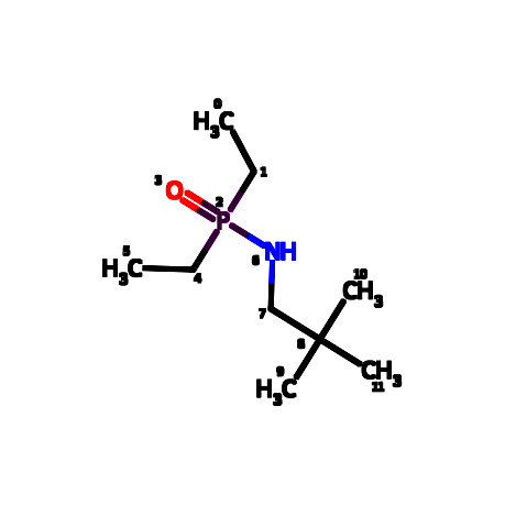 CCP(=O)(CC)NCC(C)(C)C